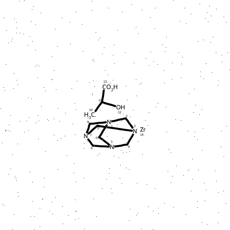 C1N2CN3CN1CN(C2)C3.CC(O)C(=O)O.[Zr]